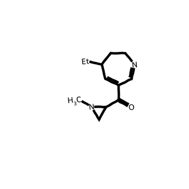 CCC1C=C(C(=O)C2CN2C)C=NCC1